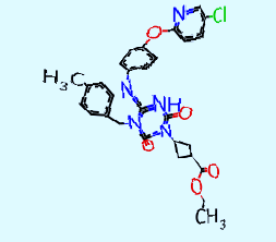 CCOC(=O)[C@H]1C[C@H](n2c(=O)[nH]/c(=N\c3ccc(Oc4ccc(Cl)cn4)cc3)n(Cc3ccc(C)cc3)c2=O)C1